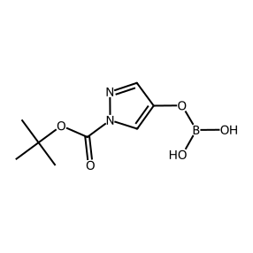 CC(C)(C)OC(=O)n1cc(OB(O)O)cn1